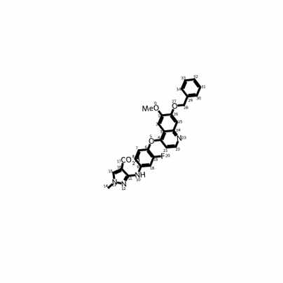 COc1cc2c(Oc3ccc(Nc4nn(C)cc4C(=O)O)cc3F)ccnc2cc1OCc1ccccc1